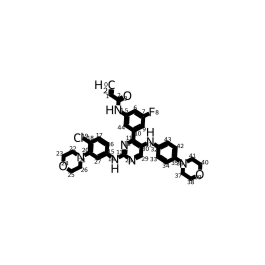 C=CC(=O)Nc1cc(F)cc(-c2nc(Nc3ccc(Cl)c(N4CCOCC4)c3)ncc2Nc2ccc(N3CCOCC3)cc2)c1